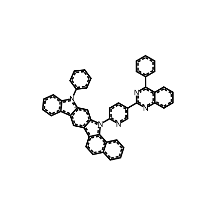 c1ccc(-c2nc(-c3ccc(-n4c5cc6c(cc5c5ccc7ccccc7c54)c4ccccc4n6-c4ccccc4)nc3)nc3ccccc23)cc1